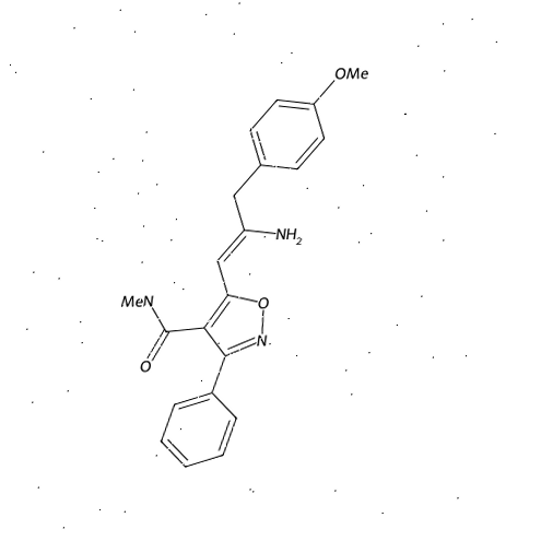 CNC(=O)c1c(-c2ccccc2)noc1/C=C(\N)Cc1ccc(OC)cc1